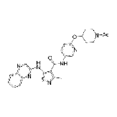 CC(=O)N1CCC(Oc2ccc(NC(=O)c3c(C)nsc3Nc3cnc4ccccc4n3)cn2)CC1